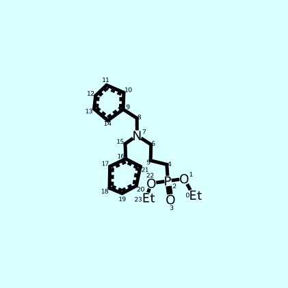 CCOP(=O)(CCCN(Cc1ccccc1)Cc1ccccc1)OCC